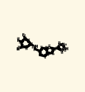 Fc1cc(NCc2ccc3cc(-c4nn[nH]n4)oc3c2)cc(Br)c1F